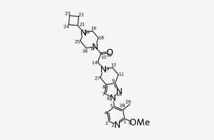 COc1nccc(-n2cc3c(n2)CCN(CC(=O)N2CCN(C4CCC4)CC2)C3)c1C